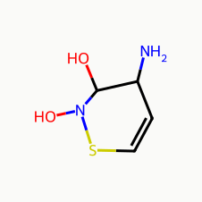 NC1C=CSN(O)C1O